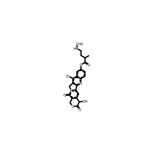 CCc1c2c(nc3ccc(OC(=O)C(C)CCNC=O)cc13)-c1cc3c(c(=O)n1C2)COC(=O)C3O